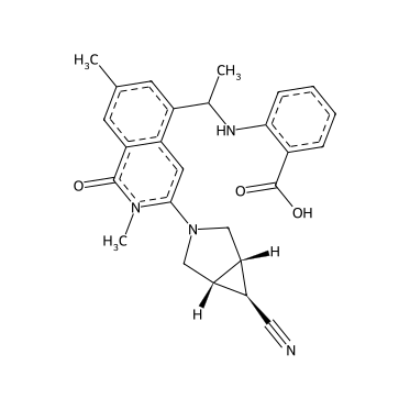 Cc1cc(C(C)Nc2ccccc2C(=O)O)c2cc(N3C[C@@H]4[C@@H](C#N)[C@@H]4C3)n(C)c(=O)c2c1